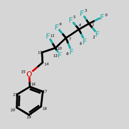 FC(F)(F)C(F)(F)C(F)(F)C(F)(F)CCOc1cc[c]cc1